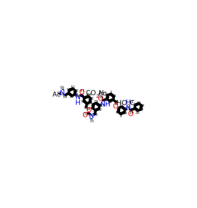 CC(=O)c1ccc(COc2cccc(NC(=O)c3ccccc3C(=O)O)c2)cc1C(=O)Nc1cccc(CN(C)C(=O)OCc2ccc(C(=O)O)c(C(=O)Nc3cccc(CN(C)C(C)=O)c3)c2)c1